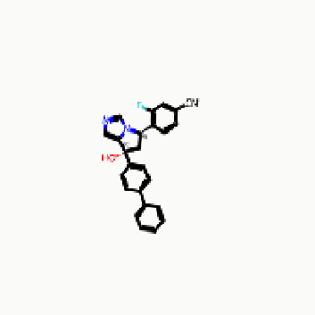 N#Cc1ccc([C@H]2C[C@@](O)(c3ccc(-c4ccccc4)cc3)c3cncn32)c(F)c1